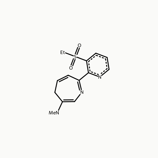 CCS(=O)(=O)c1cccnc1C1=NC=C(NC)CC=C1